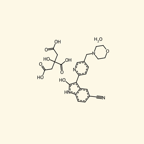 N#Cc1ccc2[nH]c(O)c(-c3ccc(CN4CCOCC4)cn3)c2c1.O.O=C(O)CC(O)(CC(=O)O)C(=O)O